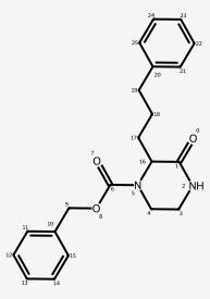 O=C1NCCN(C(=O)OCc2ccccc2)C1CCCc1ccccc1